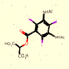 CC(=O)Nc1c(I)c(NC(C)=O)c(I)c(C(=O)OC(C(=O)O)C(=O)O)c1I